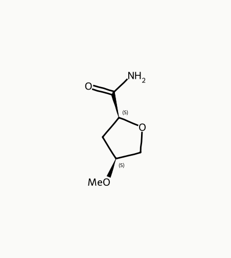 CO[C@@H]1CO[C@H](C(N)=O)C1